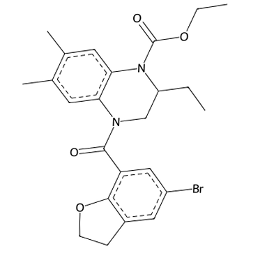 CCOC(=O)N1c2cc(C)c(C)cc2N(C(=O)c2cc(Br)cc3c2OCC3)CC1CC